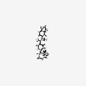 O=C(Nc1ccc2ocnc2c1)c1ccc(N2CCCCS2(=O)=O)cc1